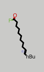 CCCC/C=C/CCCCCCCCC(=O)F